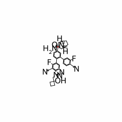 N#Cc1ccc(-c2cc(C(=O)N3[C@@H]4CC[C@H]3C[C@@H](N)C4)ccc2-c2cc3nnn(CC4(O)CCC4)c3c(C#N)c2F)cc1F